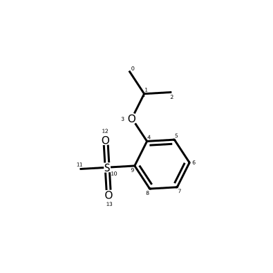 C[C](C)Oc1ccccc1S(C)(=O)=O